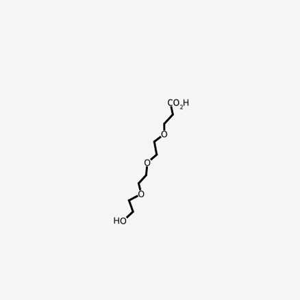 O=C(O)CCOCCOCCOCCO